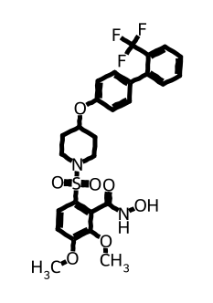 COc1ccc(S(=O)(=O)N2CCC(Oc3ccc(-c4ccccc4C(F)(F)F)cc3)CC2)c(C(=O)NO)c1OC